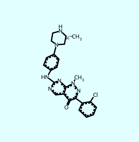 C[C@@H]1CN(c2ccc(Nc3ncc4c(=O)c(-c5ccccc5Cl)nn(C)c4n3)cc2)CCN1